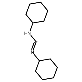 [C](=N\C1CCCCC1)/NC1CCCCC1